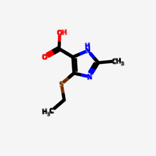 CCSc1nc(C)[nH]c1C(=O)O